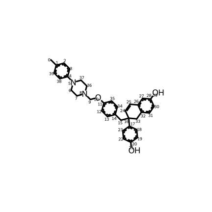 Cc1ccc(N2CCN(COc3ccc(CC4(c5ccc(O)cc5)C=Cc5cc(O)ccc5C4)cc3)CC2)cc1